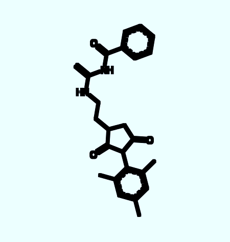 C=C(NCCC1CC(=O)C(c2c(C)cc(C)cc2C)C1=O)NC(=O)c1ccccc1